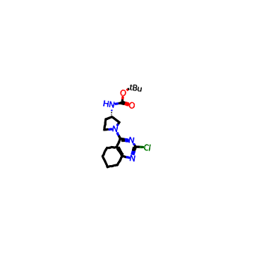 CC(C)(C)OC(=O)N[C@H]1CCN(c2nc(Cl)nc3c2CCCC3)C1